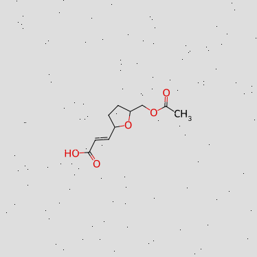 CC(=O)OCC1CCC(C=CC(=O)O)O1